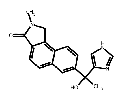 CN1Cc2c(ccc3cc(C(C)(O)c4c[nH]cn4)ccc23)C1=O